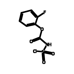 O=C(NS(=O)(=O)Cl)Oc1ccccc1F